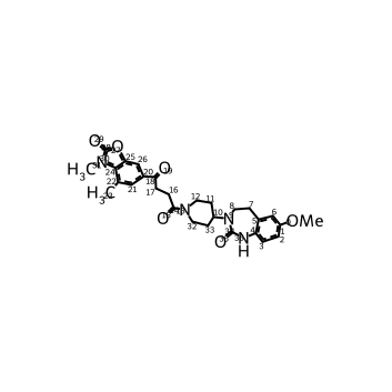 COc1ccc2c(c1)CCN(C1CCN(C(=O)CCC(=O)c3cc(C)c4c(c3)oc(=O)n4C)CC1)C(=O)N2